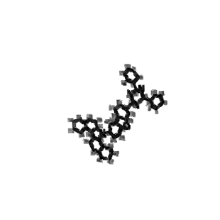 c1ccc(-c2nc(-c3ccccc3)nc(-c3ccc4c(c3)oc3ccc(-n5c6ccc7ccccc7c6c6ccc7ccccc7c65)cc34)n2)cc1